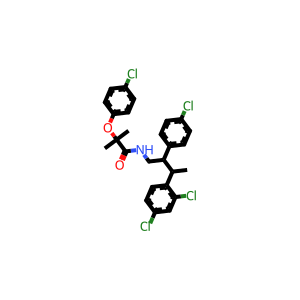 CC(c1ccc(Cl)cc1Cl)C(CNC(=O)C(C)(C)Oc1ccc(Cl)cc1)c1ccc(Cl)cc1